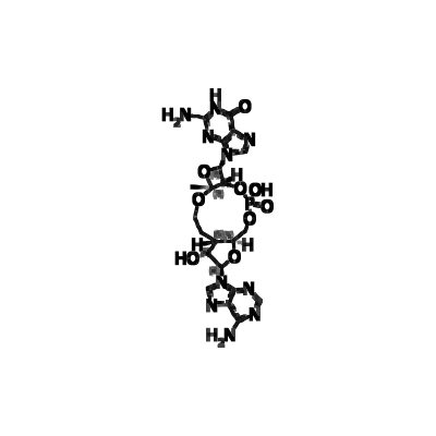 C[C@]12OCC[C@H]3[C@@H](O)[C@H](n4cnc5c(N)ncnc54)O[C@@H]3COP(=O)(O)O[C@H]1[C@H](n1cnc3c(=O)[nH]c(N)nc31)O2